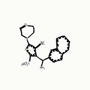 [C-]#[N+]c1c(N2CCOCC2)sc(C(=O)O)c1C(N)c1ccc2ccccc2c1